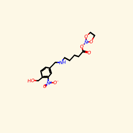 O=C(CCCCNCc1ccc(CO)c([N+](=O)[O-])c1)ON1OCCO1